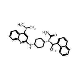 CC(c1cccc2ccccc12)N(C(N)=O)[C@H]1CC[C@@H](Nc2cc(N(C)C)c3ccccc3n2)CC1